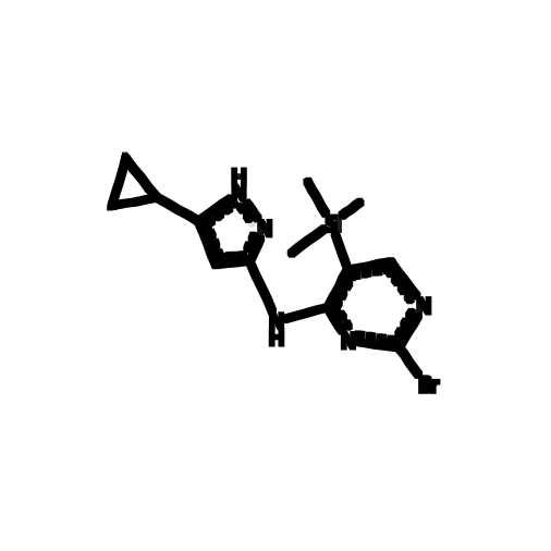 C[Si](C)(C)c1cnc(Br)nc1Nc1cc(C2CC2)[nH]n1